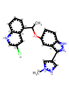 CC(Oc1ccc2[nH]nc(-c3cnn(C)c3)c2c1)c1cccc2ncc(Cl)cc12